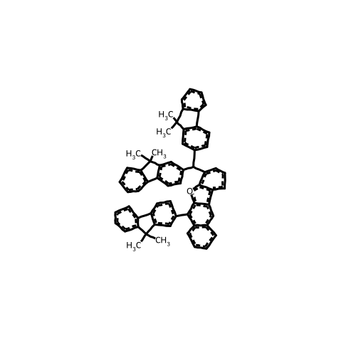 CC1(C)c2ccccc2-c2ccc(-c3c4ccccc4cc4c3oc3c(C(c5ccc6c(c5)C(C)(C)c5ccccc5-6)c5ccc6c(c5)C(C)(C)c5ccccc5-6)cccc34)cc21